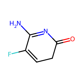 NC1=NC(=O)CC=C1F